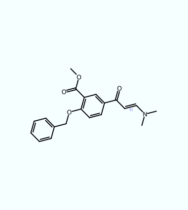 COC(=O)c1cc(C(=O)/C=C/N(C)C)ccc1OCc1ccccc1